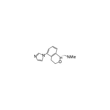 CNC[C@@H]1OCCc2c1cccc2-n1ccnc1